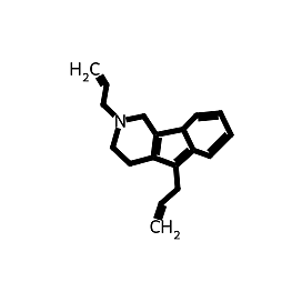 C=CCC1=C2C=CC=CC2C2=C1CCN(CC=C)C2